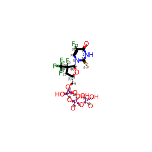 O=c1[nH]c(=S)n([C@@H]2O[C@H](COP(=O)(O)OP(=O)(O)OP(=O)(O)O)C[C@]2(F)C(F)(F)F)cc1F